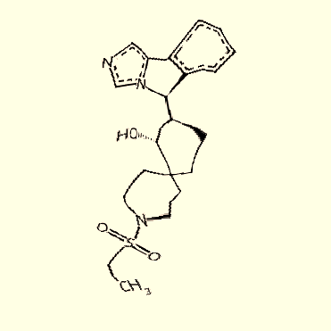 CCS(=O)(=O)N1CCC2(CC[C@H]([C@@H]3c4ccccc4-c4cncn43)[C@H]2O)CC1